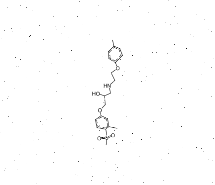 Cc1ccc(OCCNCC(O)COc2ccc(S(C)(=O)=O)c(C)c2)cc1